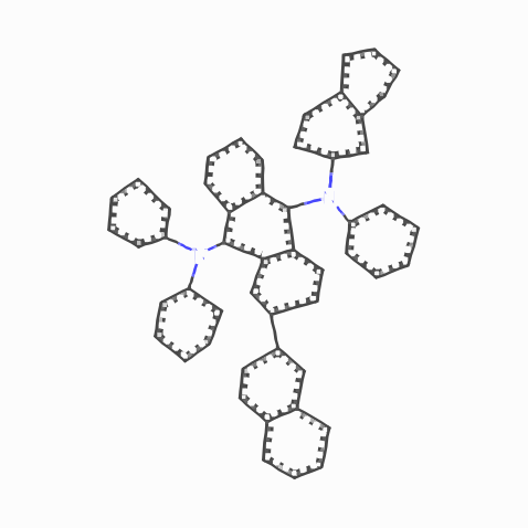 c1ccc(N(c2ccc3ccccc3c2)c2c3ccccc3c(N(c3ccccc3)c3ccccc3)c3cc(-c4ccc5ccccc5c4)ccc23)cc1